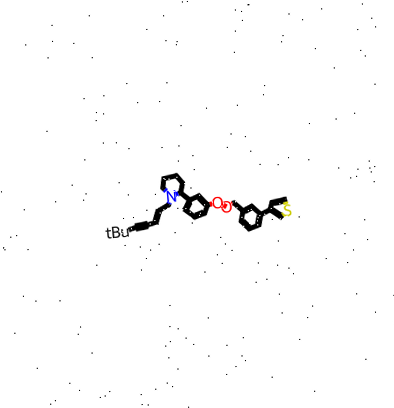 CC(C)(C)C#CC=CCN1CCCCC1c1cccc(OOCc2cccc(-c3ccsc3)c2)c1